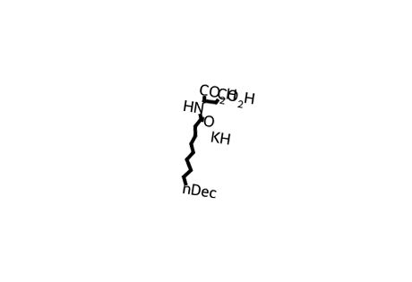 CCCCCCCCCCCCCCCCCC(=O)NC(CC(=O)O)C(=O)O.[KH]